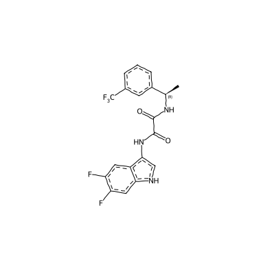 C[C@@H](NC(=O)C(=O)Nc1c[nH]c2cc(F)c(F)cc12)c1cccc(C(F)(F)F)c1